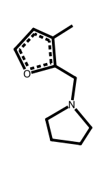 Cc1ccoc1CN1CCCC1